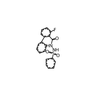 O=C(NNS(=O)(=O)c1ccccc1)c1c(F)cccc1-c1ccccc1